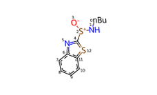 CCCCN[S+]([O-])c1nc2ccccc2s1